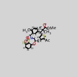 CC[C@@H]1CN(Cc2cc(C(c3ccc(C(C)=O)s3)C(C)(C)C(=O)OC)ccc2C)S(=O)(=O)c2c(F)cccc2O1